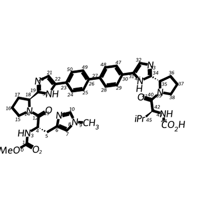 COC(=O)N[C@@H](Cc1cn(C)cn1)C(=O)N1CCC[C@H]1c1ncc(-c2ccc(-c3ccc(-c4cnc([C@@H]5CCCN5C(=O)[C@@H](NC(=O)O)C(C)C)[nH]4)cc3)cc2)[nH]1